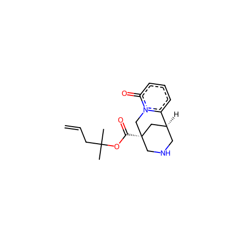 C=CCC(C)(C)OC(=O)[C@@]12CNC[C@@H](C1)c1cccc(=O)n1C2